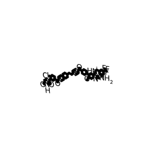 COc1cc2nc(C)nc(N[C@H](C)c3cc(N)cc(C(F)(F)F)c3)c2cc1C1CCC(C(=O)N2CCN(CCC3CCC4(CC3)CCN(C(=O)c3ccc(Cl)c(-n5ccc(=O)[nH]c5=O)c3)CC4)CC2)CC1